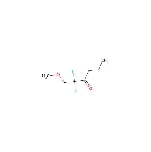 CCCC(=O)C(F)(F)COC